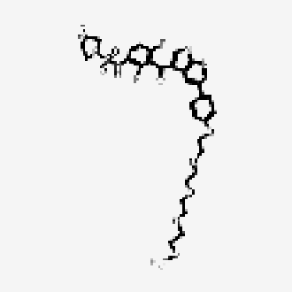 COCCOCCOCCOCCOc1ccc(-c2cnc3[nH]cc(C(=O)c4c(F)ccc(NS(=O)(=O)N5CC[C@@H](F)C5)c4F)c3c2)cc1